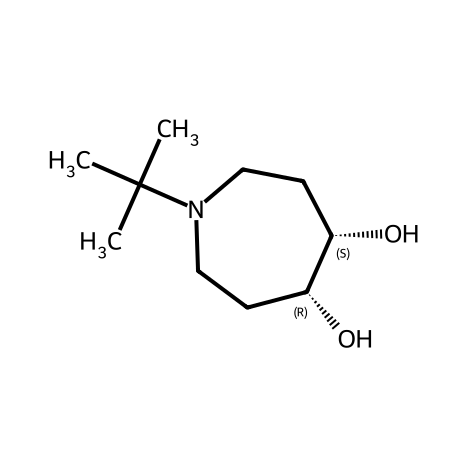 CC(C)(C)N1CC[C@@H](O)[C@@H](O)CC1